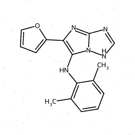 Cc1cccc(C)c1Nc1c(-c2ccco2)nc2nc[nH]n12